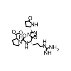 N=C(N)NCCC[C@H](NC(=O)N1CCC[C@H]1C(=O)O)c1nc([C@@H]2CCC(=O)N2)no1